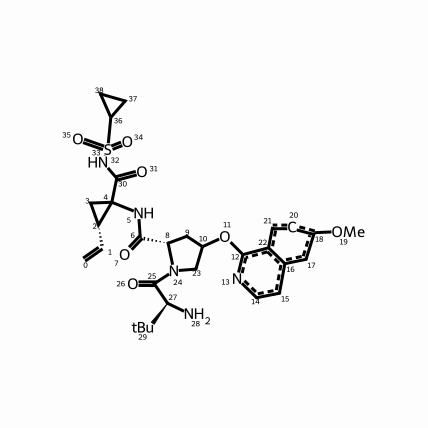 C=C[C@@H]1CC1(NC(=O)[C@@H]1CC(Oc2nccc3cc(OC)ccc23)CN1C(=O)[C@@H](N)C(C)(C)C)C(=O)NS(=O)(=O)C1CC1